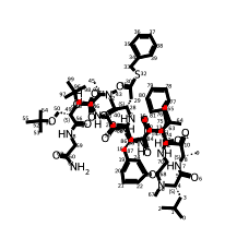 CC(C)C[C@@H](C(=O)N[C@@H](C)C(=O)N[C@H](C(=O)N[C@@H](Cc1ccccc1)C(=O)N[C@@H](CC(=O)SCc1ccccc1)C(=O)N(C)[C@@H](C)C(=O)N[C@@H](COC(C)(C)C)C(=O)NCC(N)=O)C(C)C)N(C)C(=O)CNC(=O)[C@H](Cc1ccccc1)N(C)C(=O)[C@H](C)NC(=O)CNC(=O)OC(C)(C)C